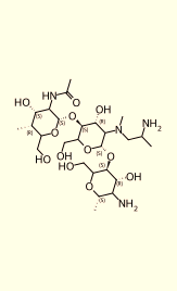 CC(=O)NC1[C@H](O[C@@H]2C(CO)O[C@@H](O[C@@H]3C(CO)O[C@@H](C)C(N)[C@H]3O)C(N(C)CC(C)N)[C@H]2O)OC(CO)[C@H](C)[C@@H]1O